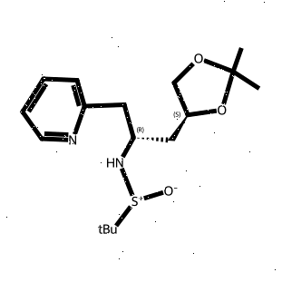 CC1(C)OC[C@H](C[C@@H](Cc2ccccn2)N[S+]([O-])C(C)(C)C)O1